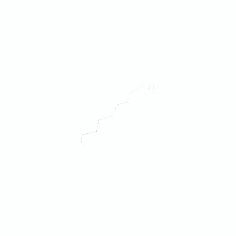 CCCCCCCC[AsH2]